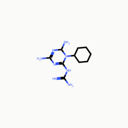 N=C(N)NC1=NC(N)=NC(N)N1C1CCCCC1